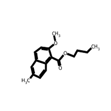 CCCCOC(=O)c1c(OC)ccc2cc(C)ccc12